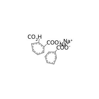 O=C([O-])c1ccccc1.O=C([O-])c1ccccc1C(=O)O.[Na+].[Na+]